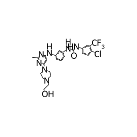 Cc1nc(Nc2cccc(NC(=O)Nc3ccc(Cl)c(C(F)(F)F)c3)c2)cc(N2CCN(CCO)CC2)n1